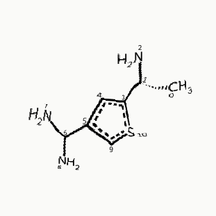 C[C@@H](N)c1cc(C(N)N)cs1